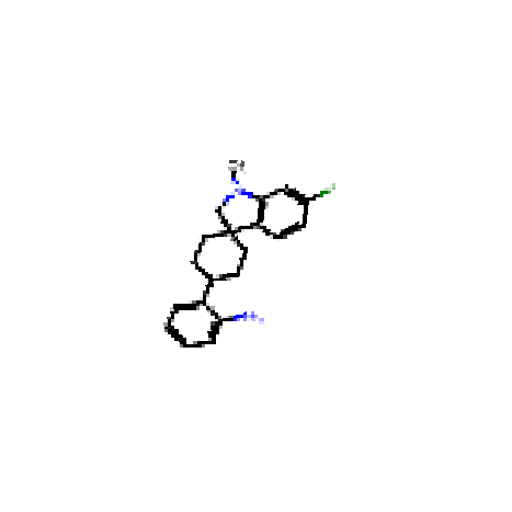 CN1CC2(CCC(c3ccccc3N)CC2)c2ccc(F)cc21